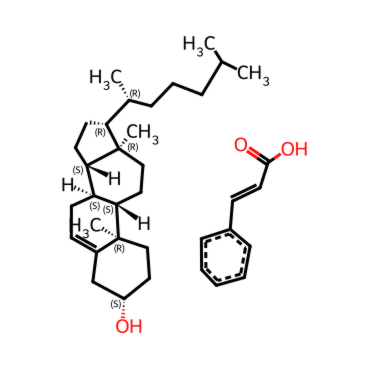 CC(C)CCC[C@@H](C)[C@H]1CC[C@H]2[C@@H]3CC=C4C[C@@H](O)CC[C@]4(C)[C@H]3CC[C@]12C.O=C(O)C=Cc1ccccc1